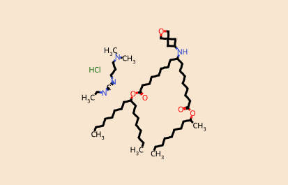 CCCCCCCCC(C)OC(=O)CCCCCCCC(CCCCCCCC(=O)OC(CCCCCCCC)CCCCCCCC)NC1CC2(COC2)C1.CCN=C=NCCCN(C)C.Cl